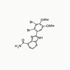 COc1cc(-c2nc3c(C(N)=O)cccc3[nH]2)c(Br)c(Br)c1OC